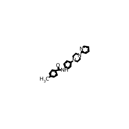 Cc1ccc(C(=O)Nc2ccc(N3CCN(c4ccccn4)CC3)cc2)cc1